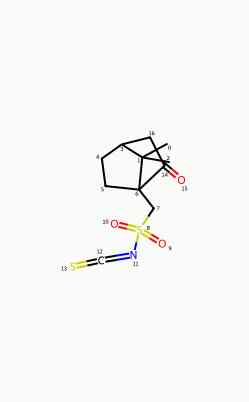 CC1(C)C2CCC1(CS(=O)(=O)N=C=S)C(=O)C2